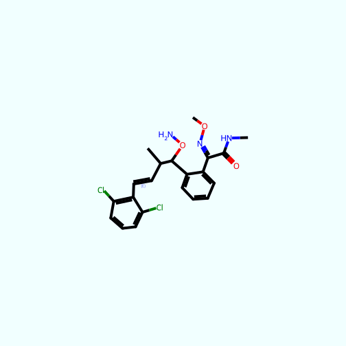 CNC(=O)C(=NOC)c1ccccc1C(ON)C(C)/C=C/c1c(Cl)cccc1Cl